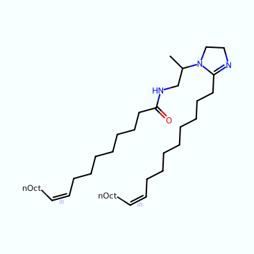 CCCCCCCC/C=C\CCCCCCCCC1=NCCN1C(C)CNC(=O)CCCCCCC/C=C\CCCCCCCC